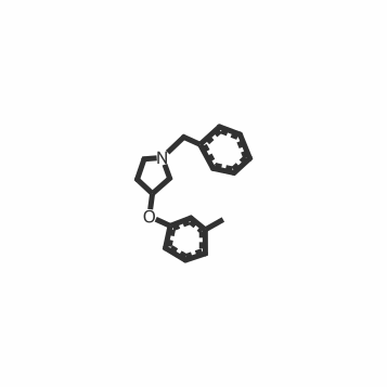 Cc1cccc(OC2CCN(Cc3ccccc3)C2)c1